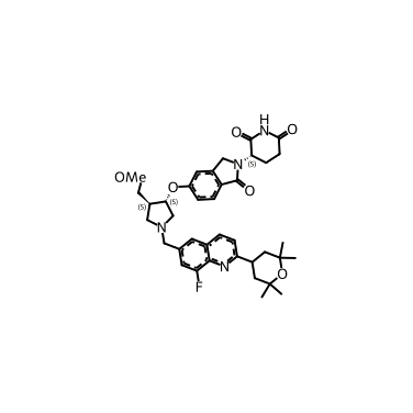 COC[C@@H]1CN(Cc2cc(F)c3nc(C4CC(C)(C)OC(C)(C)C4)ccc3c2)C[C@H]1Oc1ccc2c(c1)CN([C@H]1CCC(=O)NC1=O)C2=O